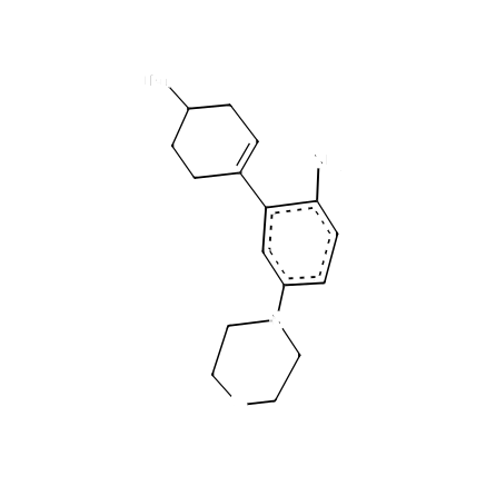 CC(C)(C)C1CC=C(c2cc(N3CCOCC3)ccc2N)CC1